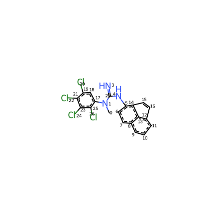 CN(C(=N)Nc1ccc2cccc3c2c1C=C3)c1cc(Cl)c(Cl)c(Cl)c1Cl